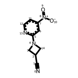 N#CC1CN(c2cc([N+](=O)[O-])ccn2)C1